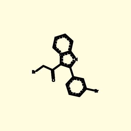 O=C(CBr)c1c(-c2cccc(Br)c2)nc2ccccn12